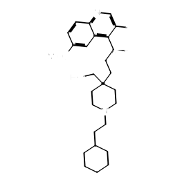 COc1ccc2ncc(Cl)c([C@@H](F)CCC3(CO)CCN(CCC4CCCCC4)CC3)c2c1